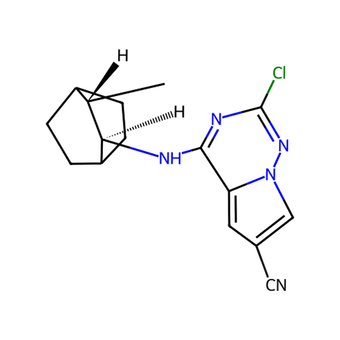 C[C@H]1C2CCC(CC2)[C@@H]1Nc1nc(Cl)nn2cc(C#N)cc12